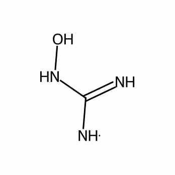 [NH]C(=N)NO